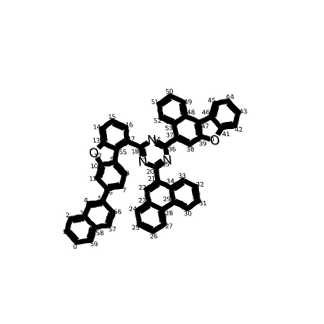 c1ccc2cc(-c3ccc4c(c3)oc3cccc(-c5nc(-c6cc7ccccc7c7ccccc67)nc(-c6cc7oc8ccccc8c7c7ccccc67)n5)c34)ccc2c1